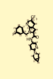 O=C(Nc1ccc(N2CC3CC3C2)nc1)c1cc2cc(C(F)(F)F)cnc2n1Cc1cccc(F)c1